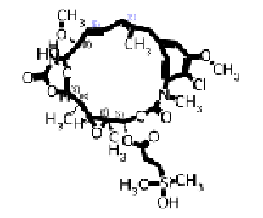 COc1cc2cc(c1Cl)N(C)C(=O)C[C@H](OC(=O)CC[Si](C)(C)O)[C@]1(C)O[C@H]1[C@H](C)[C@@H]1C[C@@](O)(NC(=O)O1)[C@H](OC)/C=C/C=C(\C)C2